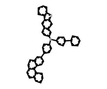 c1ccc(-c2ccc(N(c3ccc(-c4ccc5c(ccc6ccc7ccccc7c65)c4)cc3)c3ccc4cc5c(cc4c3)sc3ccccc35)cc2)cc1